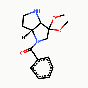 COC1(OC)CN(C(=O)c2ccccc2)[C@@H]2CCNC21